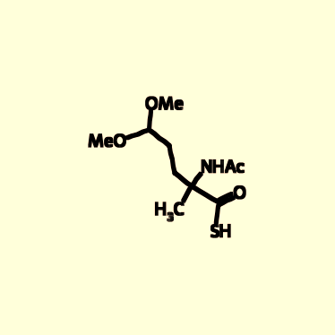 COC(CCC(C)(NC(C)=O)C(=O)S)OC